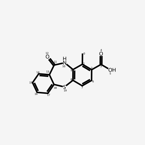 Cc1c(C(=O)O)ccc2c1NC(=O)c1ccccc1S2